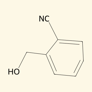 N#Cc1ccccc1CO